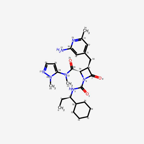 CC[C@@H](NC(=O)N1C(=O)[C@H](Cc2cc(C)nc(N)c2)[C@H]1C(=O)N(C)c1ccnn1C)C1CCCCC1